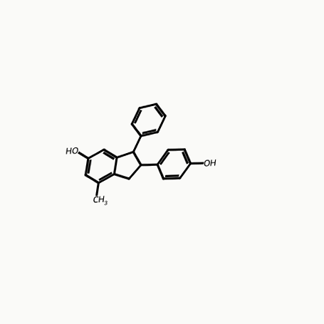 Cc1cc(O)cc2c1CC(c1ccc(O)cc1)C2c1ccccc1